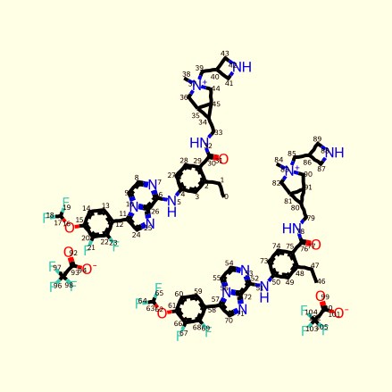 CCc1cc(Nc2nccn3c(-c4ccc(OC(F)F)c(F)c4F)cnc23)ccc1C(=O)NCC1C2C[N+](C)(CC3CNC3)CC12.CCc1cc(Nc2nccn3c(-c4ccc(OC(F)F)c(F)c4F)cnc23)ccc1C(=O)NCC1C2C[N+](C)(CC3CNC3)CC12.O=C([O-])C(F)(F)F.O=C([O-])C(F)(F)F